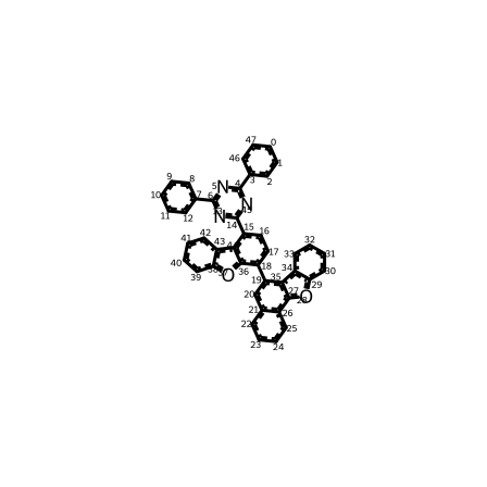 c1ccc(-c2nc(-c3ccccc3)nc(-c3ccc(-c4cc5ccccc5c5oc6ccccc6c45)c4oc5ccccc5c34)n2)cc1